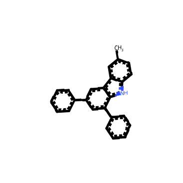 Cc1ccc2[nH]c3c(-c4ccccc4)cc(-c4ccccc4)cc3c2c1